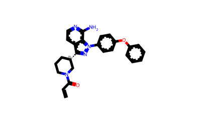 C=CC(=O)N1CCC[C@H](c2nn(-c3ccc(Oc4ccccc4)cc3)c3c(N)nccc23)C1